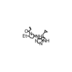 C=CC(=O)N1C[C@H](Nc2ncnc3[nH]cc(CC4CC4)c23)CCC1CC